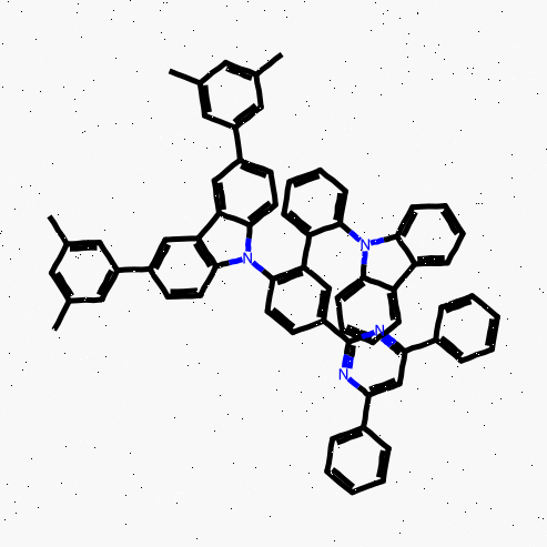 Cc1cc(C)cc(-c2ccc3c(c2)c2cc(-c4cc(C)cc(C)c4)ccc2n3-c2ccc(-c3nc(-c4ccccc4)cc(-c4ccccc4)n3)cc2-c2ccccc2-n2c3ccccc3c3ccccc32)c1